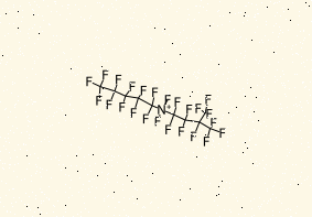 FC(F)(F)C(F)(F)C(F)(F)C(F)(F)C(F)(F)[N+](F)(F)C(F)(F)C(F)(F)C(F)(C(F)(F)F)C(F)(F)F